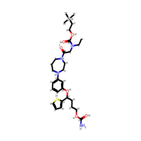 CCN(CC(=O)N1CCCN(c2cccc(OC(CCCOC(N)=O)c3cccs3)c2)CC1)C(=O)OCC[Si](C)(C)C